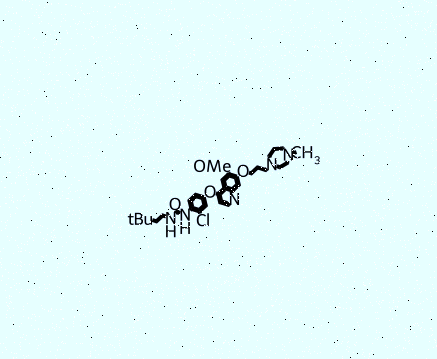 COc1cc2c(Oc3ccc(NC(=O)NCCC(C)(C)C)c(Cl)c3)ccnc2cc1OCCCN1CCCN(C)CC1